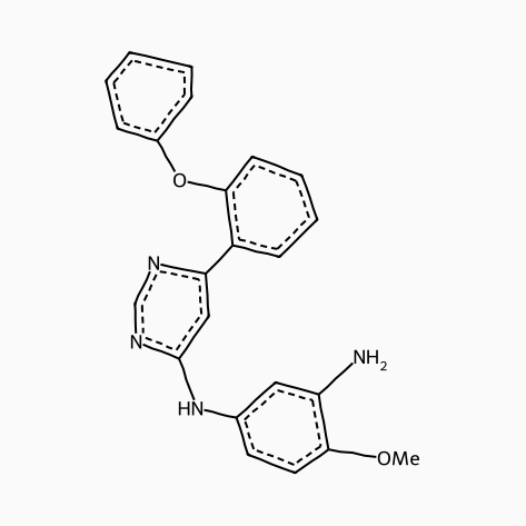 COc1ccc(Nc2cc(-c3ccccc3Oc3ccccc3)ncn2)cc1N